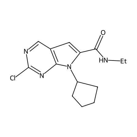 CCNC(=O)c1cc2cnc(Cl)nc2n1C1CCCC1